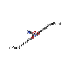 CCCCCC=CCC=CCCCCCCCCOCCN(CCOCCCCCCCCC=CCC=CCCCCC)C(=O)OCCCN(C)C